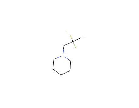 CC(F)(S)CN1CCCCC1